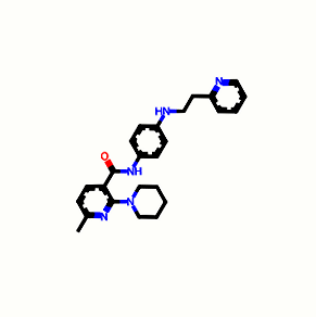 Cc1ccc(C(=O)Nc2ccc(NCCc3ccccn3)cc2)c(N2CCCCC2)n1